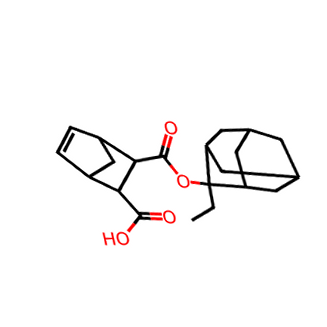 CCC1(OC(=O)C2C3C=CC(C3)C2C(=O)O)C2CC3CC(C2)CC1C3